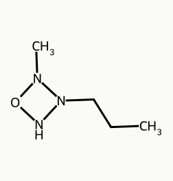 CCCN1NON1C